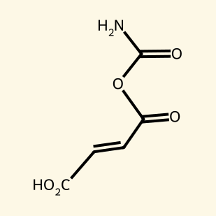 NC(=O)OC(=O)/C=C/C(=O)O